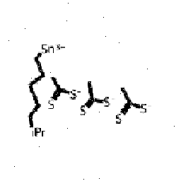 CC(=S)[S-].CC(=S)[S-].CC(=S)[S-].CC(C)CCCC[CH2][Sn+3]